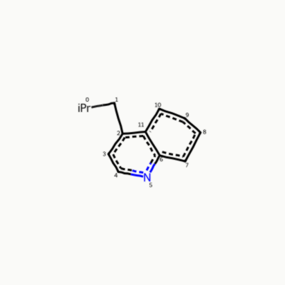 CC(C)Cc1ccnc2ccccc12